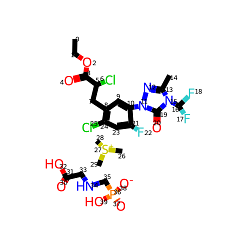 CCOC(=O)C(Cl)Cc1cc(-n2nc(C)n(C(F)F)c2=O)c(F)cc1Cl.C[S+](C)C.O=C(O)CNCP(=O)([O-])O